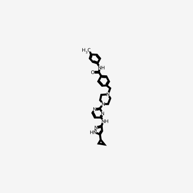 Cc1ccc(NC(=O)c2ccc(CN3CCN(c4nccc(Nc5cc(C6CC6)[nH]n5)n4)CC3)cc2)cc1